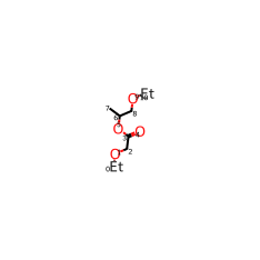 CCOCC(=O)OC(C)COCC